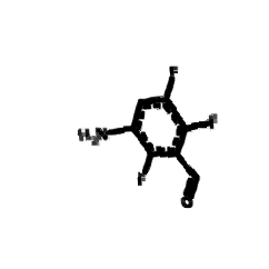 Nc1cc(F)c(F)c(C=O)c1F